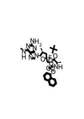 CNc1nc(N)nc2c1ncn2[C@@H]1O[C@](F)(CO[P@@](=O)(N[C@H](C)C(=O)OCC(C)(C)C)Oc2cccc3ccccc23)C[C@@H]1C